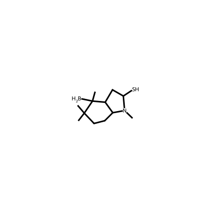 BC1(C)C2CC(S)N(C)C2CCC1(C)C